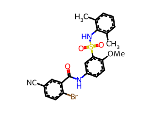 COc1ccc(NC(=O)c2cc(C#N)ccc2Br)cc1S(=O)(=O)Nc1c(C)cccc1C